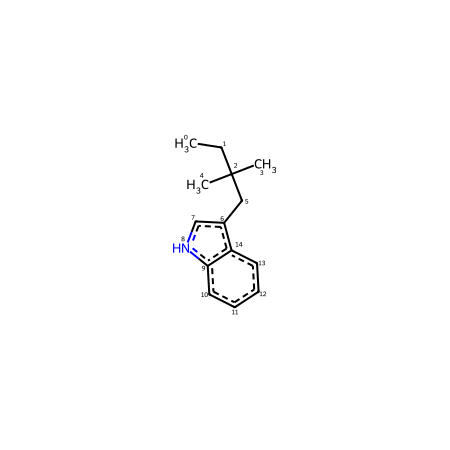 CCC(C)(C)Cc1c[nH]c2ccccc12